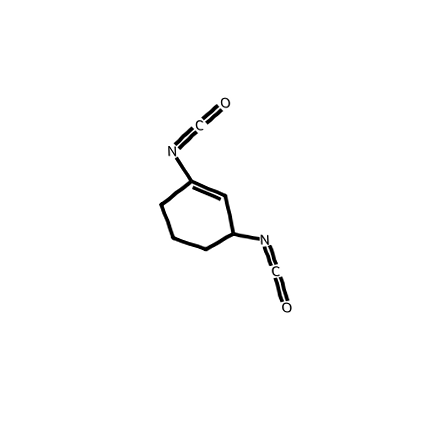 O=C=NC1=CC(N=C=O)CCC1